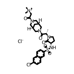 C[C@@H](C(=O)N1C[C@@H]2C[C@H](CN(C(=O)C[N+](C)(C)C)C2)C1)N1CC[C@H](NS(=O)(=O)c2ccc3cc(Cl)ccc3c2)C1=O.[Cl-]